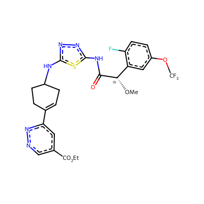 CCOC(=O)c1cnnc(C2=CCC(Nc3nnc(NC(=O)[C@@H](OC)c4cc(OC(F)(F)F)ccc4F)s3)CC2)c1